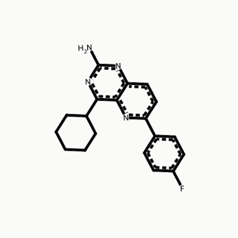 Nc1nc(C2CCCCC2)c2nc(-c3ccc(F)cc3)ccc2n1